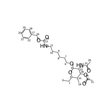 CCC1OC(OCCCCCCNC(=O)OCc2ccccc2)C(NC(C)=O)C(OC(C)=O)C1C